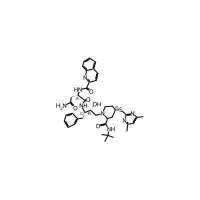 Cc1cc(C)nc(S[C@@H]2CCN(C[C@@H](O)[C@H](Cc3ccccc3)NC(=O)[C@H](CC(N)=O)NC(=O)c3ccc4ccccc4n3)C(C(=O)NC(C)(C)C)C2)n1